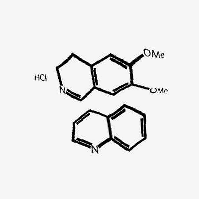 COc1cc2c(cc1OC)CCN=C2.Cl.c1ccc2ncccc2c1